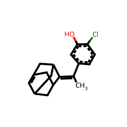 CC(=C1C2CC3=CC(C2)CC1C3)c1ccc(Cl)c(O)c1